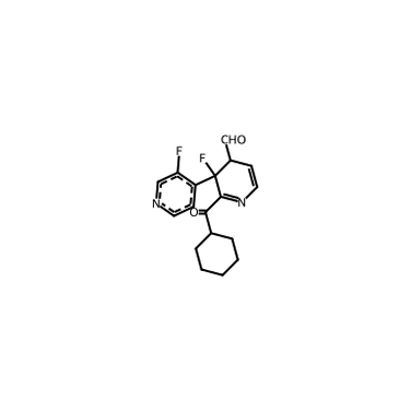 O=CC1C=CN=C(C(=O)C2CCCCC2)C1(F)c1ccncc1F